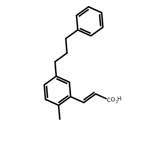 Cc1ccc(CCCc2ccccc2)cc1/C=C/C(=O)O